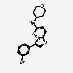 Brc1cccc(-c2cnc3ccc(NC4CCOCC4)nn23)c1